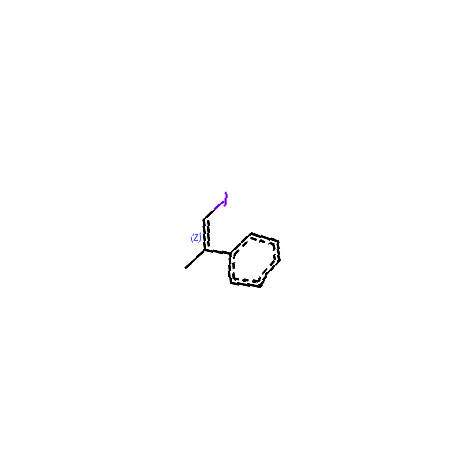 C/C(=C/I)c1ccccc1